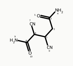 N#CC(CC(N)=O)C(C#N)C(N)=O